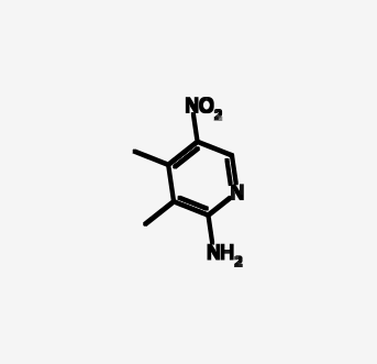 Cc1c([N+](=O)[O-])cnc(N)c1C